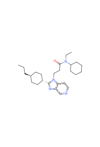 CCC[C@H]1CC[C@H](c2nc3cnccc3n2CCC(=O)N(CC)C2CCCCC2)CC1